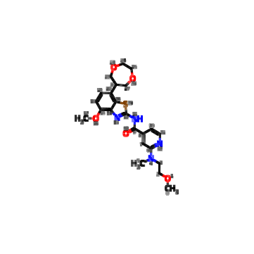 COCCN(C)c1cc(C(=O)Nc2nc3c(OC)ccc(C4COCCOC4)c3s2)ccn1